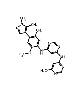 COc1cc(-c2cnn(C)c2C)c(C)nc1Nc1cc(Nc2cc(C)ncn2)ncn1